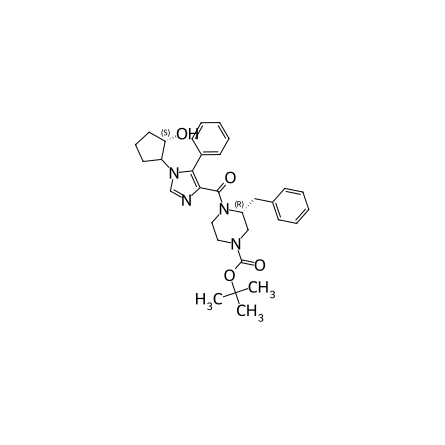 CC(C)(C)OC(=O)N1CCN(C(=O)c2ncn(C3CCC[C@@H]3O)c2-c2ccccc2)[C@H](Cc2ccccc2)C1